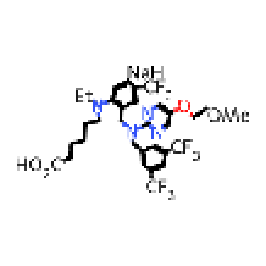 CCN(CCCCCC(=O)O)c1ccc(C(F)(F)F)cc1CN(Cc1cc(C(F)(F)F)cc(C(F)(F)F)c1)c1ncc(OCCOC)cn1.[NaH]